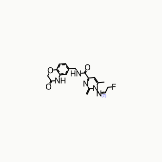 C=C1N=C(C(=O)NCc2ccc3c(c2)NC(=O)CO3)C=C(C)N1/N=C\CF